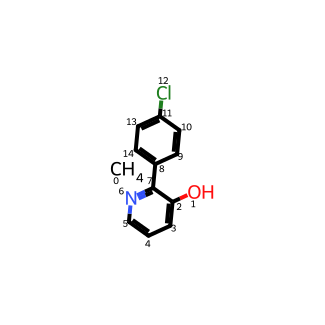 C.Oc1cccnc1-c1ccc(Cl)cc1